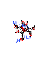 CCCO[Si](C)(C)CCC[Si](C)(CCC[Si](CCC[Si](C)(CCC[Si](C)(C)OCCC)CCC[Si](C)(C)OCCN)(CCC[Si](C)(CCC[Si](C)(C)OCCC)CCC[Si](C)(C)OCCN)CCC[Si](C)(CCC[Si](C)(C)OCCN)CCC[Si](C)(C)OCCN)CCC[Si](C)(C)OCCC